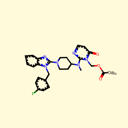 CC(C)COC(=O)OCn1c(N(C)C2CCN(c3nc4ccccc4n3Cc3ccc(F)cc3)CC2)nccc1=O